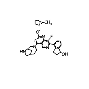 CN1CCC[C@H]1COc1nc(N2CCC3CNC(C3)C2)c2cnc(-c3cccc4c3CCC4O)c(F)c2n1